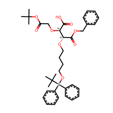 CC(C)(C)OC(=O)CO[C@@H](C(=O)O)[C@@H](OCCCCO[Si](c1ccccc1)(c1ccccc1)C(C)(C)C)C(=O)OCc1ccccc1